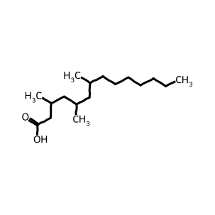 CCCCCCCC(C)CC(C)CC(C)CC(=O)O